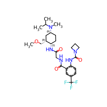 COC[C@@H]1C[C@H](N(C)C(C)C)CC[C@@H]1NC(=O)CNC(=O)c1cc(C(F)(F)F)ccc1NC(=O)N1CCC1